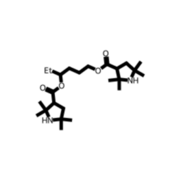 CCC(CCCOC(=O)C1CC(C)(C)NC1(C)C)OC(=O)C1CC(C)(C)NC1(C)C